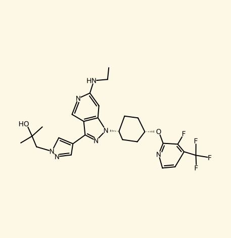 CCNc1cc2c(cn1)c(-c1cnn(CC(C)(C)O)c1)nn2[C@H]1CC[C@@H](Oc2nccc(C(F)(F)F)c2F)CC1